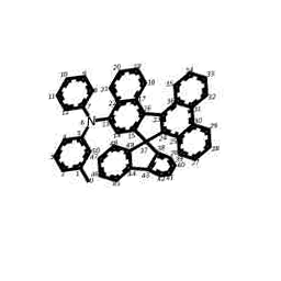 Cc1cccc(N(c2ccccc2)c2cc3c(c4ccccc24)-c2c(c4ccccc4c4ccccc24)C32c3ccccc3-c3ccccc32)c1